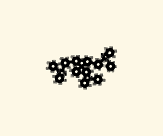 c1ccc(-n2c(-c3cccc(-c4ccc5c(c4)C(c4ccccc4)(c4ccc6c(c4)c4ccccc4n6-c4ccccc4)c4cc(-c6cccc(-c7nc8ccccc8n7-c7ccccc7)c6)ccc4-5)c3)nc3ccccc32)cc1